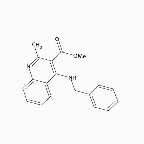 COC(=O)c1c(C)nc2ccccc2c1NCc1ccccc1